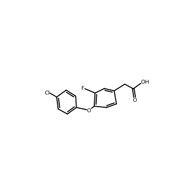 O=C(O)Cc1ccc(Oc2ccc(Cl)cc2)c(F)c1